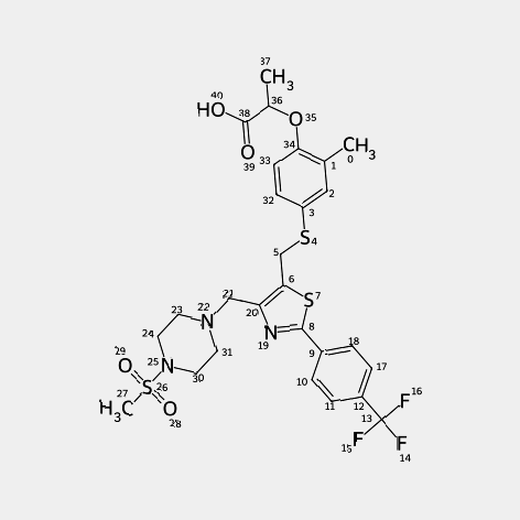 Cc1cc(SCc2sc(-c3ccc(C(F)(F)F)cc3)nc2CN2CCN(S(C)(=O)=O)CC2)ccc1OC(C)C(=O)O